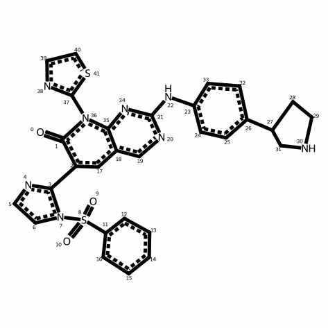 O=c1c(-c2nccn2S(=O)(=O)c2ccccc2)cc2cnc(Nc3ccc(C4CCNC4)cc3)nc2n1-c1nccs1